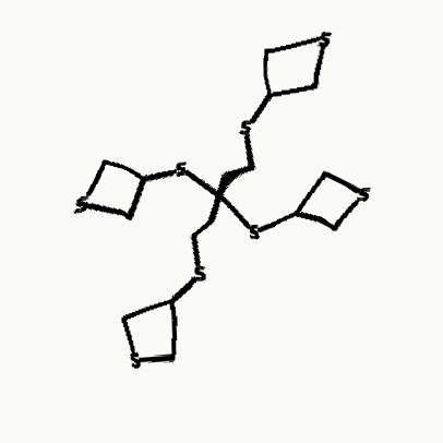 C1SCC1SCC(CSC1CSC1)(SC1CSC1)SC1CSC1